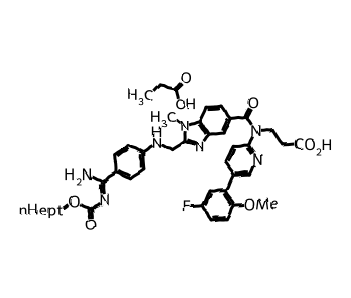 CCC(=O)O.CCCCCCCOC(=O)N=C(N)c1ccc(NCc2nc3cc(C(=O)N(CCC(=O)O)c4ccc(-c5cc(F)ccc5OC)cn4)ccc3n2C)cc1